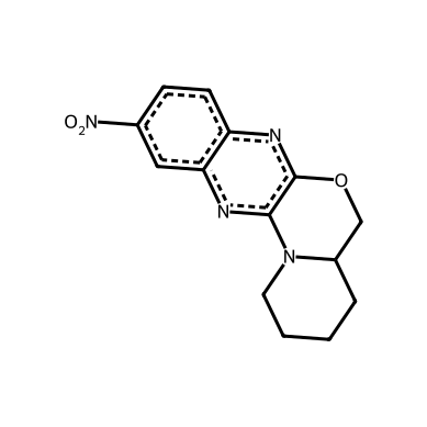 O=[N+]([O-])c1ccc2nc3c(nc2c1)N1CCCCC1CO3